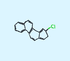 ClC1C=c2c(ccc3c2ccc2ccccc23)=CC1